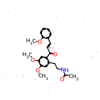 COc1ccccc1/C=C/C(=O)c1cc(OC)c(OC)cc1CCNC(C)=O